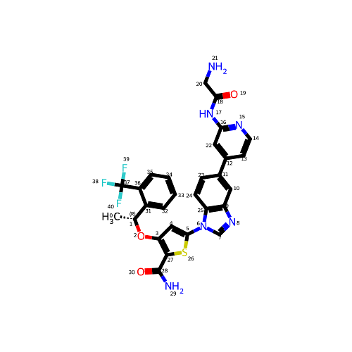 C[C@@H](Oc1cc(-n2cnc3cc(-c4ccnc(NC(=O)CN)c4)ccc32)sc1C(N)=O)c1ccccc1C(F)(F)F